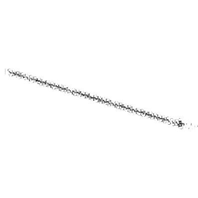 COS(=S)(=S)SSSSSSSSSSSSSSSSSSSSSSSSSSSSSSSSSSSSSSSSSSSSSSSSSSSSSSSSSSSSSSSSSSSSSSSSSSSSSSSS